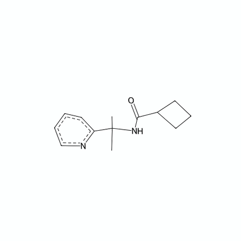 CC(C)(NC(=O)C1CCC1)c1ccccn1